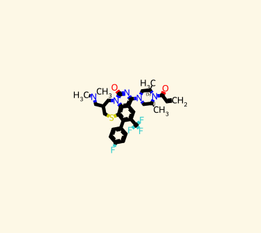 C=CC(=O)N1[C@H](C)CN(c2nc(=O)n3c4c(c(-c5ccc(F)cc5)c(C(F)(F)F)cc24)SCC(CN(C)C)C3)C[C@@H]1C